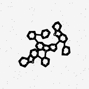 c1ccc(-c2ccccc2-c2ccc3c(c2)c2cc(-c4c(-c5ccccc5)ccc5c4oc4ccccc45)ccc2n3-c2ccccc2-c2cccc3c2oc2ccccc23)cc1